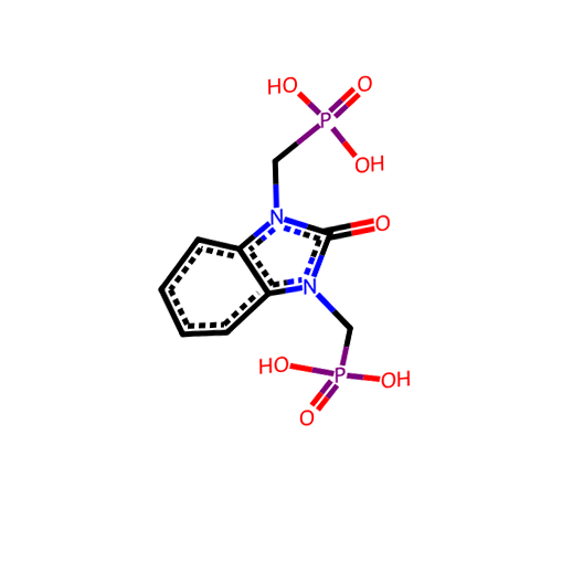 O=c1n(CP(=O)(O)O)c2ccccc2n1CP(=O)(O)O